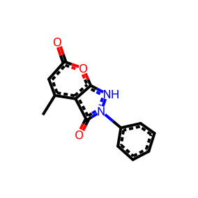 Cc1cc(=O)oc2[nH]n(-c3ccccc3)c(=O)c12